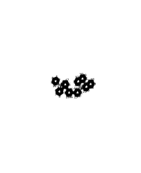 c1ccc(-n2c3ccccc3c3c(-c4cccc(-c5cccc(N(c6ccc7ccccc7c6)c6cccc7ccccc67)c5)c4)cccc32)cc1